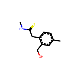 CNC(=S)Cc1ccc(C)cc1CO